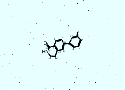 Cc1cccc(-c2ccc3c(c2)CCNC3=O)c1